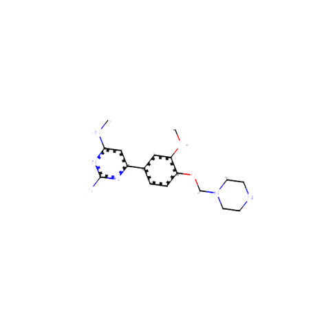 CNc1cc(-c2ccc(OCN3CCNCC3)c(OC)c2)nc(N)n1